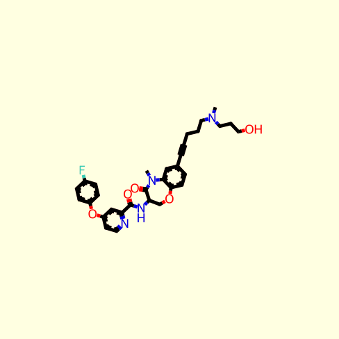 CN(CCCO)CCCC#Cc1ccc2c(c1)N(C)C(=O)C(NC(=O)c1cc(Oc3ccc(F)cc3)ccn1)CO2